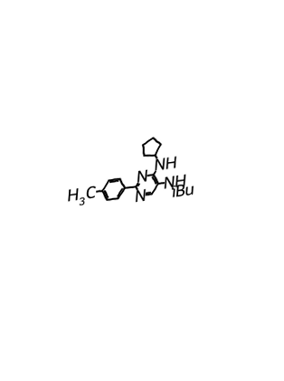 CCC(C)Nc1cnc(-c2ccc(C)cc2)nc1NC1CCCC1